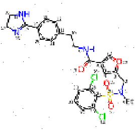 CCN(Cc1cc(C(=O)NCCc2ccc(C3=NCCN3)cc2)co1)S(=O)(=O)c1c(Cl)cccc1Cl